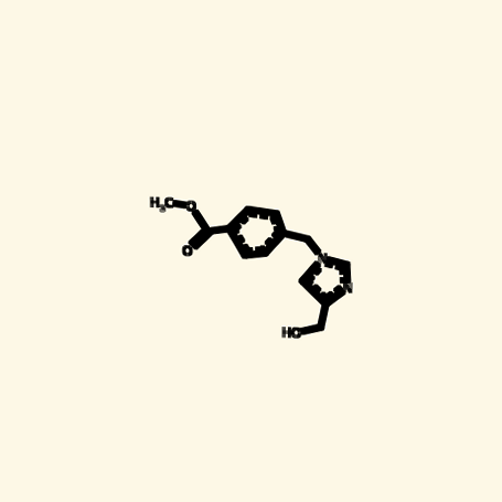 COC(=O)c1ccc(Cn2cnc(CO)c2)cc1